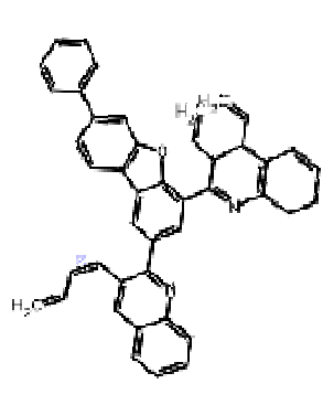 C=C/C=C\c1cc2ccccc2nc1-c1cc(C2=NC3=C(C=CCC3)C(C=C)C2C=C)c2oc3cc(-c4ccccc4)ccc3c2c1